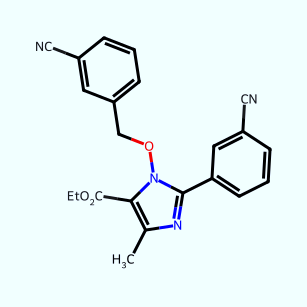 CCOC(=O)c1c(C)nc(-c2cccc(C#N)c2)n1OCc1cccc(C#N)c1